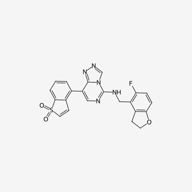 O=S1(=O)C=Cc2c(-c3cnc(NCc4c(F)ccc5c4CCO5)n4cnnc34)cccc21